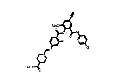 C#Cc1cc(OC)c(NC(=O)c2ccc(N=CN3CCC(C(=O)OC)CC3)cc2F)c(C(=O)Nc2ccc(Cl)cn2)c1